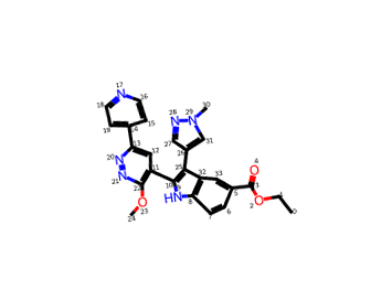 CCOC(=O)c1ccc2[nH]c(-c3cc(-c4ccncc4)nnc3OC)c(-c3cnn(C)c3)c2c1